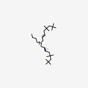 CCCCN(C/C=C/CC(C)(C)CC(C)(C)C)C/C=C/CC(C)(C)CC(C)(C)C